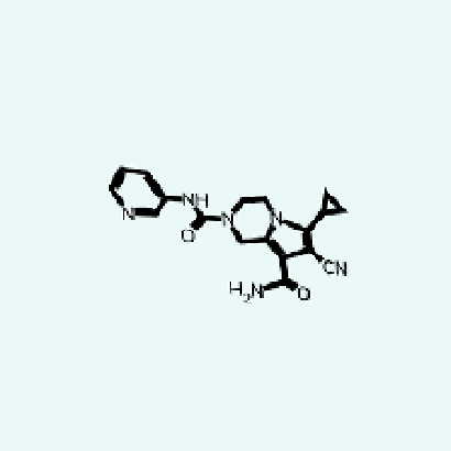 N#Cc1c(C(N)=O)c2n(c1C1CC1)CCN(C(=O)Nc1cccnc1)C2